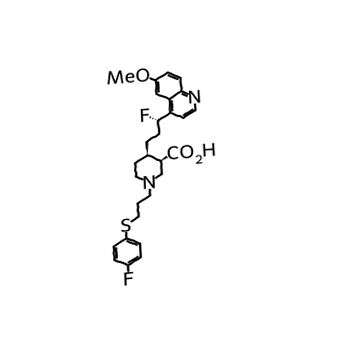 COc1ccc2nccc([C@@H](F)CC[C@@H]3CCN(CCCSc4ccc(F)cc4)C[C@@H]3C(=O)O)c2c1